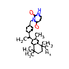 C=C(c1ccc(Cn2c(=O)cc[nH]c2=O)cc1)c1cc2c(cc1C)C(C)(C)CCC2(C)C